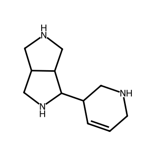 C1=CC(C2NCC3CNCC32)CNC1